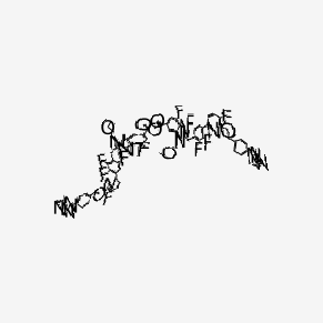 COCCn1c(Cc2c(F)cc(-c3ccc(F)c(OCc4ccc(-n5ccnn5)cc4)n3)c(F)c2F)nc2c(F)cc(C(=O)OC(=O)c3cc(F)c4nc(Cc5c(F)cc(-c6ccc(F)c(OCc7ccc(-n8ccnn8)cc7)n6)c(F)c5F)n(CCOC)c4c3)cc21